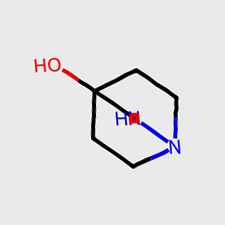 OC12CCN(CC1)NC2